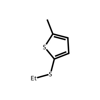 CCSc1ccc(C)s1